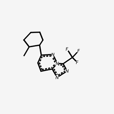 CC1CCCCC1c1ccc2nnc(C(F)(F)F)n2n1